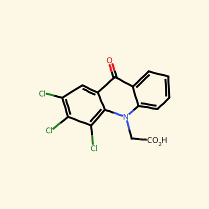 O=C(O)Cn1c2ccccc2c(=O)c2cc(Cl)c(Cl)c(Cl)c21